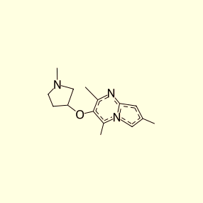 Cc1cc2nc(C)c(OC3CCN(C)C3)c(C)n2c1